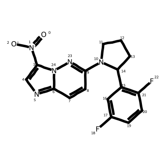 O=[N+]([O-])c1cnc2ccc(N3CCCC3c3cc(F)ccc3F)nn12